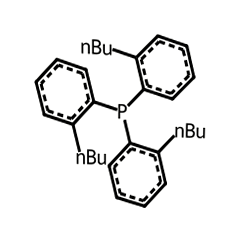 CCCCc1ccccc1P(c1ccccc1CCCC)c1ccccc1CCCC